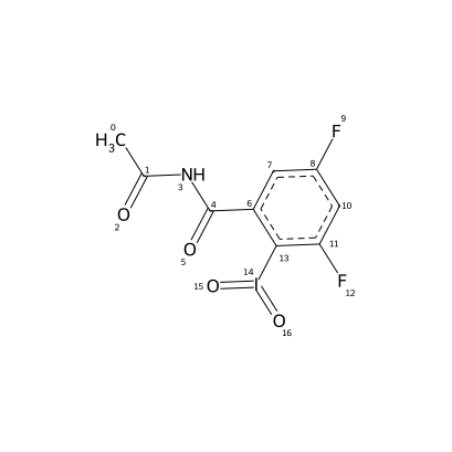 CC(=O)NC(=O)c1cc(F)cc(F)c1I(=O)=O